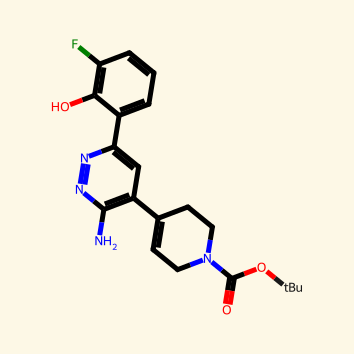 CC(C)(C)OC(=O)N1CC=C(c2cc(-c3cccc(F)c3O)nnc2N)CC1